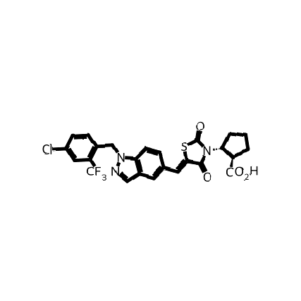 O=C(O)[C@@H]1CCC[C@H]1N1C(=O)S/C(=C\c2ccc3c(cnn3Cc3ccc(Cl)cc3C(F)(F)F)c2)C1=O